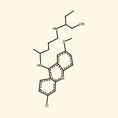 CCC(CO)NCCCC(C)Nc1c2ccc(Cl)cc2nc2ccc(OC)cc12